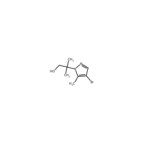 Cc1c(Br)cnn1C(C)(C)CO